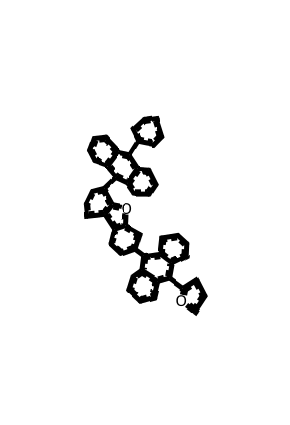 c1ccc(-c2c3ccccc3c(-c3cccc4c3oc3cc(-c5c6ccccc6c(-c6ccco6)c6ccccc56)ccc34)c3ccccc23)cc1